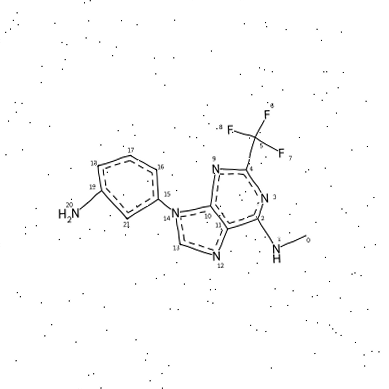 CNc1nc(C(F)(F)F)nc2c1ncn2-c1cccc(N)c1